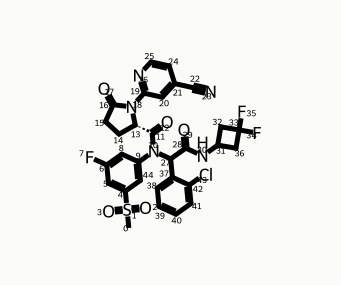 CS(=O)(=O)c1cc(F)cc(N(C(=O)[C@@H]2CCC(=O)N2c2cc(C#N)ccn2)C(C(=O)NC2CC(F)(F)C2)c2ccccc2Cl)c1